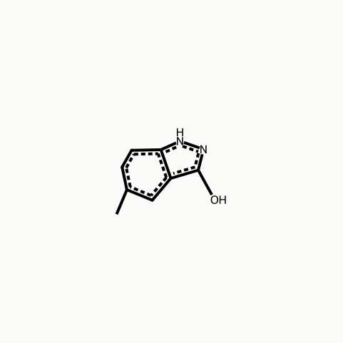 Cc1ccc2[nH]nc(O)c2c1